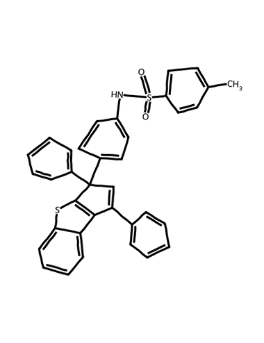 Cc1ccc(S(=O)(=O)Nc2ccc(C3(c4ccccc4)C=C(c4ccccc4)c4c3sc3ccccc43)cc2)cc1